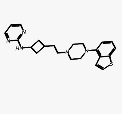 c1cnc(NC2CC(CCN3CCN(c4cccc5sccc45)CC3)C2)nc1